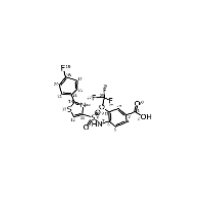 O=C(O)c1ccc(NS(=O)(=O)c2csc(-c3ccc(F)cc3)n2)c(OC(F)(F)F)c1